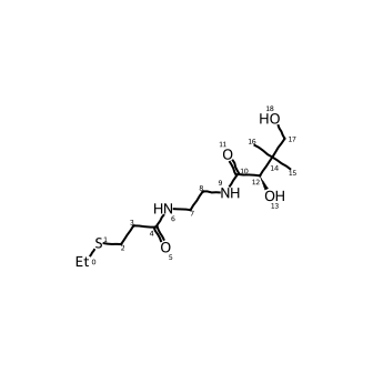 CCSCCC(=O)NCCNC(=O)[C@H](O)C(C)(C)CO